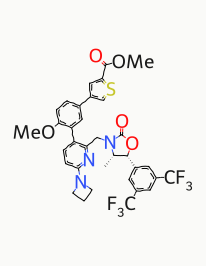 COC(=O)c1cc(-c2ccc(OC)c(-c3ccc(N4CCC4)nc3CN3C(=O)O[C@H](c4cc(C(F)(F)F)cc(C(F)(F)F)c4)[C@@H]3C)c2)cs1